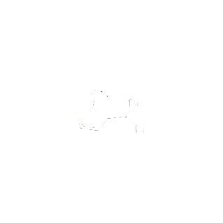 N#Cc1sccc1C(Br)Br